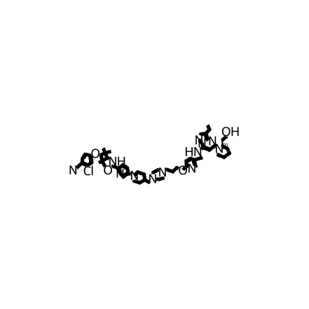 CCc1cnn2c(NCc3ccc(OCCCN4CCN(CC5CCN(c6ccc(C(=O)NC7C(C)(C)C(Oc8ccc(C#N)c(Cl)c8)C7(C)C)nc6)CC5)CC4)nc3)cc(N3CCCC[C@@H]3CCO)nc12